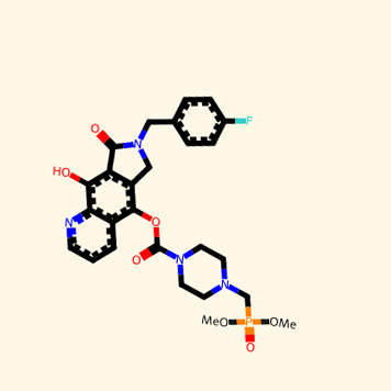 COP(=O)(CN1CCN(C(=O)Oc2c3c(c(O)c4ncccc24)C(=O)N(Cc2ccc(F)cc2)C3)CC1)OC